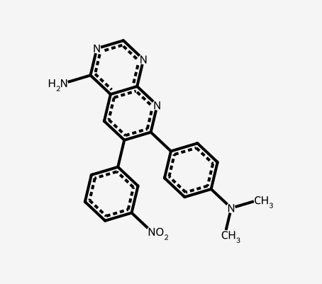 CN(C)c1ccc(-c2nc3ncnc(N)c3cc2-c2cccc([N+](=O)[O-])c2)cc1